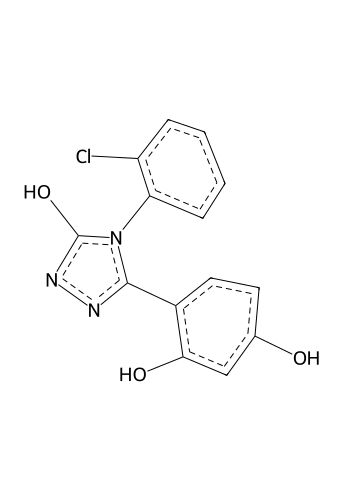 Oc1ccc(-c2nnc(O)n2-c2ccccc2Cl)c(O)c1